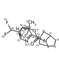 CC(C)(C)OC(=O)N1C2CCC1CN(c1ncc(C(F)F)cn1)C2